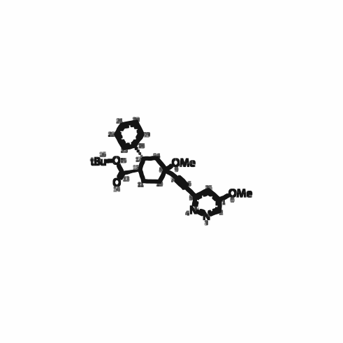 COc1cnnc(C#CC2(OC)CC[C@@H](C(=O)OC(C)(C)C)[C@H](c3ccccc3)C2)c1